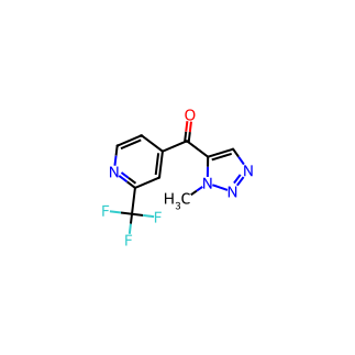 Cn1nncc1C(=O)c1ccnc(C(F)(F)F)c1